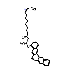 CCCCCCCC/C=C\CCCCCCCC(=O)OP(O)Oc1cccc2cc3c(ccc4cc5ccccc5cc43)cc12